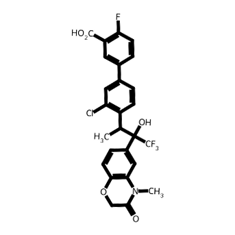 CC(c1ccc(-c2ccc(F)c(C(=O)O)c2)cc1Cl)C(O)(c1ccc2c(c1)N(C)C(=O)CO2)C(F)(F)F